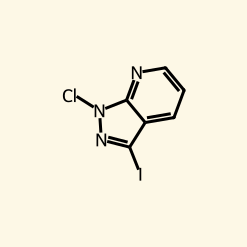 Cln1nc(I)c2cccnc21